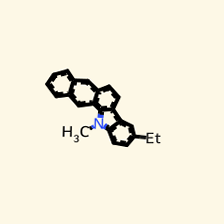 CCc1ccc2c(c1)c1ccc3cc4ccccc4cc3c1n2C